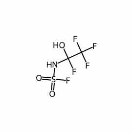 O=S(=O)(F)NC(O)(F)C(F)(F)F